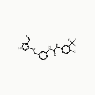 O=Cc1n[nH]cc1NCc1cccc(NC(=O)Nc2ccc(Cl)c(C(F)(F)F)c2)c1